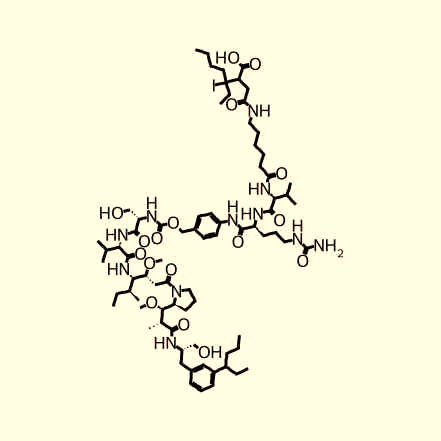 CCCCC(I)(CC)C(CC(=O)NCCCCCC(=O)N[C@H](C(=O)N[C@@H](CCCNC(N)=O)C(=O)Nc1ccc(COC(=O)N[C@@H](CO)C(=O)N[C@H](C(=O)N[C@@H]([C@@H](C)CC)[C@@H](CC(=O)N2CCC[C@H]2[C@H](OC)[C@@H](C)C(=O)N[C@H](CO)Cc2cccc(C(CC)CCC)c2)OC)C(C)C)cc1)C(C)C)C(=O)O